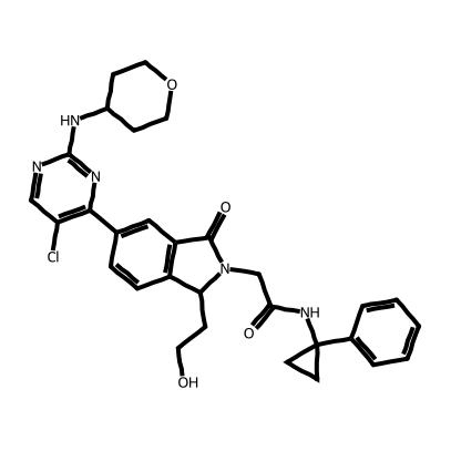 O=C(CN1C(=O)c2cc(-c3nc(NC4CCOCC4)ncc3Cl)ccc2C1CCO)NC1(c2ccccc2)CC1